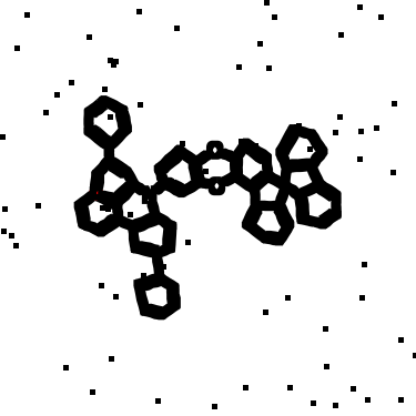 C1=CCCC(c2cc(-c3ccccc3)ccc2N(c2cccc(-c3ccccc3)c2)c2ccc3c(c2)Oc2c(ccc4c2-c2ccccc2C42C4=C(CCC=C4)c4ccccc42)O3)=C1